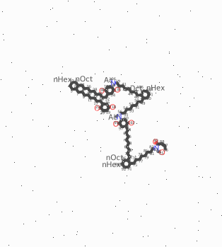 CCCCCCCCC1C(CCCCCC)CCC(CCCCCCCCC2CC(=O)C=CC2=O)C1CCCCCCCCCC1CC(=O)C(N(CCCCCCCCC2C(CCCCCCCCN(C(C)=O)C3CC(=O)C(CCCCCCCCCC4C(CCCCCCCCN5COCC=CC5=O)CCC(CCCCCC)C4CCCCCCCC)CC3=O)CCC(CCCCCC)C2CCCCCCCC)C(C)=O)=CC1=O